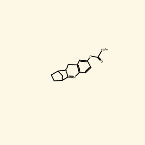 CNC(=O)Oc1ccc2c(c1)CN1C(=N2)C2CCC1C2